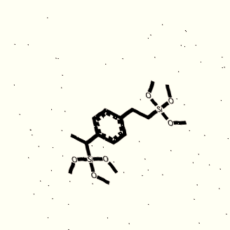 CO[Si](CCc1ccc(C(C)[Si](OC)(OC)OC)cc1)(OC)OC